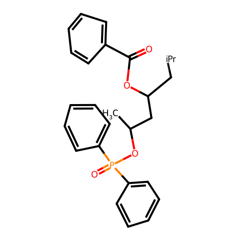 CC(C)CC(CC(C)OP(=O)(c1ccccc1)c1ccccc1)OC(=O)c1ccccc1